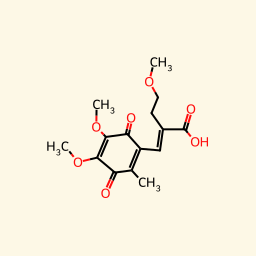 COCCC(=CC1=C(C)C(=O)C(OC)=C(OC)C1=O)C(=O)O